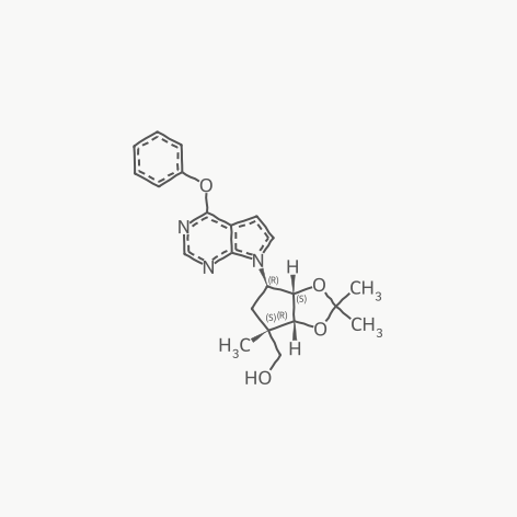 CC1(C)O[C@H]2[C@H](n3ccc4c(Oc5ccccc5)ncnc43)C[C@@](C)(CO)[C@H]2O1